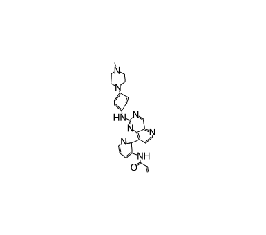 C=CC(=O)Nc1cccnc1-c1ccnc2cnc(Nc3ccc(N4CCN(C)CC4)cc3)nc12